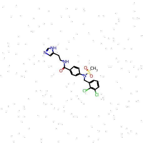 CS(=O)(=O)N(Cc1cccc(Cl)c1Cl)c1ccc(C(=O)NCCc2cnc[nH]2)cc1